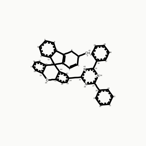 CC1C=CC2=C(C1)c1ccccc1C21c2ccccc2Oc2ccc(-c3nc(-c4ccccc4)nc(-c4ccccc4)n3)cc21